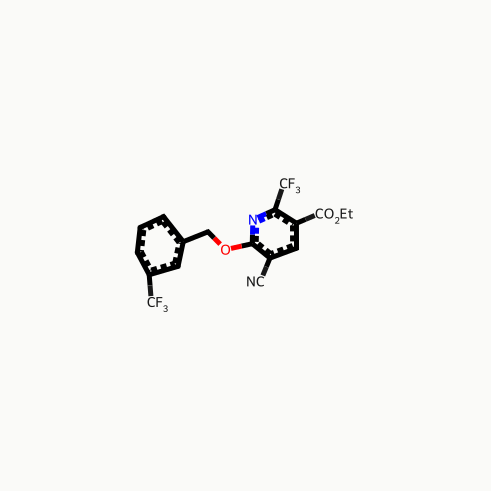 CCOC(=O)c1cc(C#N)c(OCc2cccc(C(F)(F)F)c2)nc1C(F)(F)F